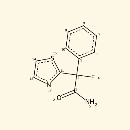 NC(=O)C(F)(c1ccccc1)c1nccs1